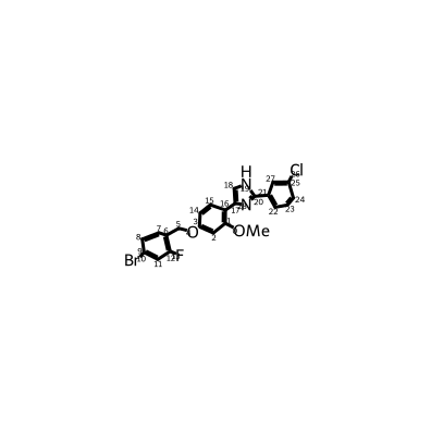 COc1cc(OCc2ccc(Br)cc2F)ccc1-c1c[nH]c(-c2cccc(Cl)c2)n1